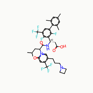 Cc1cc(C)c(-c2cc(C(F)(F)F)c(F)c([C@H](CC(=O)O)NC(=O)C(CC(C)C)n3cc(CCCN4CCC4)c(C(F)(F)F)cc3=O)c2F)c(C)c1